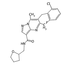 Cc1nc2c(C(=O)NCC3CCCO3)cnn2c(C)c1Cc1c(F)cccc1Cl